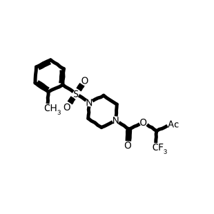 CC(=O)C(OC(=O)N1CCN(S(=O)(=O)c2ccccc2C)CC1)C(F)(F)F